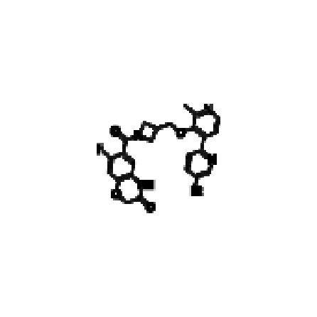 CCc1ccc(-c2ccnc(C)c2OCC2CN(C(=O)c3cc4c(cc3F)OCC(=O)N4)C2)nc1